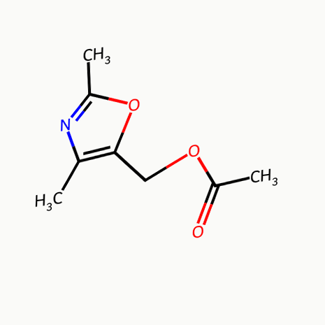 CC(=O)OCc1oc(C)nc1C